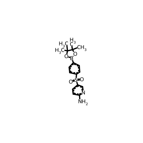 CC1(C)OB(c2ccc(S(=O)(=O)c3ccc(N)nc3)cc2)OC1(C)C